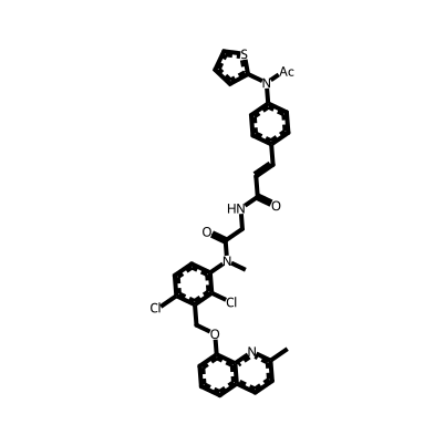 CC(=O)N(c1ccc(C=CC(=O)NCC(=O)N(C)c2ccc(Cl)c(COc3cccc4ccc(C)nc34)c2Cl)cc1)c1cccs1